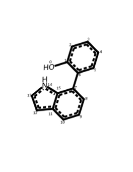 Oc1c[c]ccc1-c1cccc2cc[nH]c12